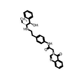 CC[C@@H](NCCc1ccc(NC(=O)Cn2cnc3ccccc3c2=O)cc1)[C@H](O)c1ccccc1